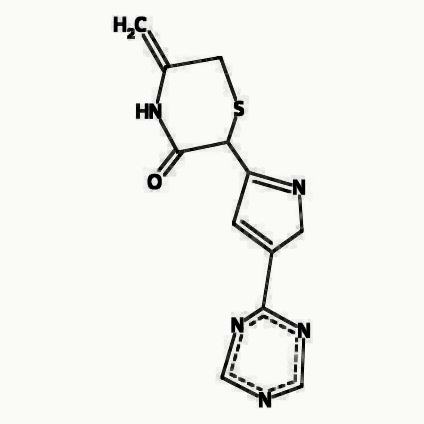 C=C1CSC(C2=NCC(c3ncncn3)=C2)C(=O)N1